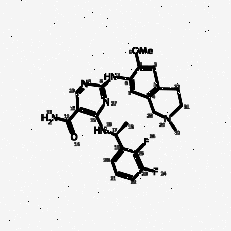 COc1cc2c(cc1Nc1ncc(C(N)=O)c(N[C@@H](C)c3cccc(F)c3F)n1)CN(C)CC2